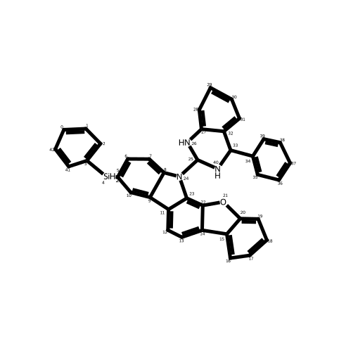 c1ccc([SiH2]c2ccc3c(c2)c2ccc4c5ccccc5oc4c2n3C2Nc3ccccc3C(c3ccccc3)N2)cc1